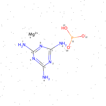 Nc1nc(N)nc(N)n1.[Mg+2].[O-]P([O-])O